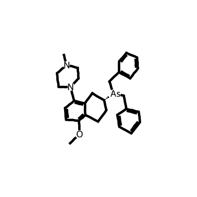 COc1ccc(N2CCN(C)CC2)c2c1CC[C@@H]([As](Cc1ccccc1)Cc1ccccc1)C2